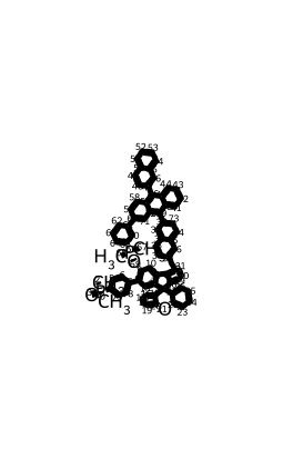 CP(C)(=O)c1ccc(-c2ccc3c(c2)C2(c4ccccc4Oc4ccccc42)c2cccc(-c4ccc5cc(-c6c7ccccc7c(-c7ccc8ccccc8c7)c7ccc(-c8cccc(P(C)(C)=O)c8)cc67)ccc5c4)c2-3)cc1